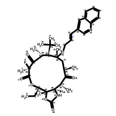 CC[C@H]1OC(=O)[C@@](C)(F)C(=O)[C@H](C)[C@@H](C(C)(C)C)[C@](C)(OC/C=C/c2cnc3ccccc3c2)C[C@@H](C)C(=O)[C@H](C)[C@H]2NC(=O)O[C@@]21C